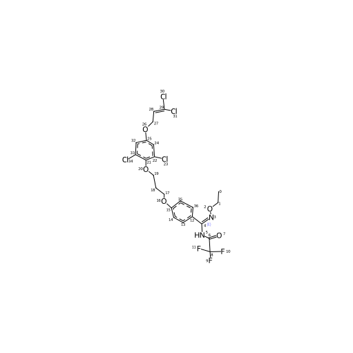 CCO/N=C(/NC(=O)C(F)(F)F)c1ccc(OCCCOc2c(Cl)cc(OCC=C(Cl)Cl)cc2Cl)cc1